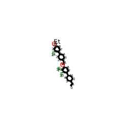 C=CC1CCC(c2ccc(OCC3CCC(c4ccc(OCC)cc4F)CC3)c(F)c2F)CC1